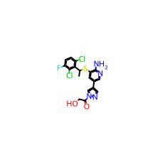 CC(Sc1cc(-c2cnn(C(=O)CO)c2)cnc1N)c1c(Cl)ccc(F)c1Cl